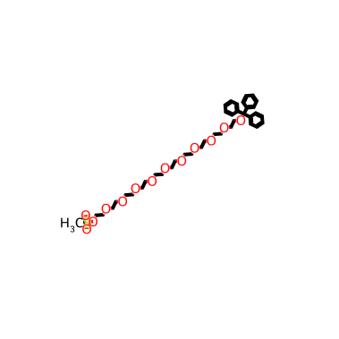 CS(=O)(=O)OCCOCCOCCOCCOCCOCCOCCOCCOCCOCCOC(c1ccccc1)(c1ccccc1)c1ccccc1